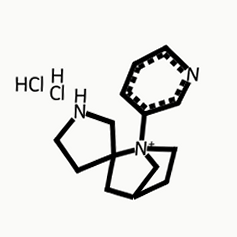 Cl.Cl.c1cncc([N+]23CCC(CC24CCNC4)C3)c1